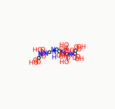 O=C(O)C1=NN(c2ccc(S(=O)(=O)O)cc2)C(=O)C1/N=N/c1ccc(-c2nc3ccc4c(O)c(/N=N/c5cc(OCCO)c(/N=N/c6cc(S(=O)(=O)O)cc7cc(S(=O)(=O)O)cc(O)c67)cc5OCCCO)c(S(=O)(=O)O)cc4c3[nH]2)cc1